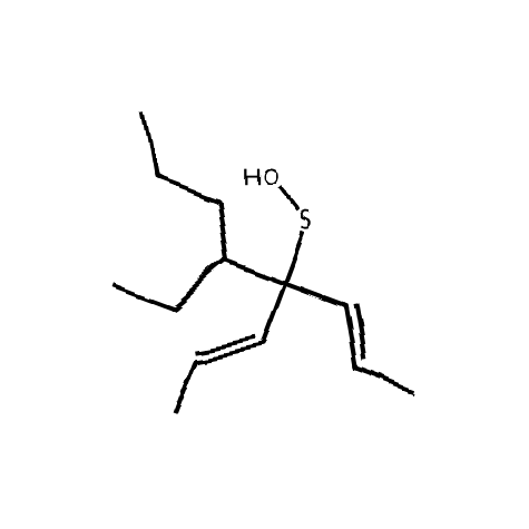 CC=CC(C=CC)(SO)C(CC)CCC